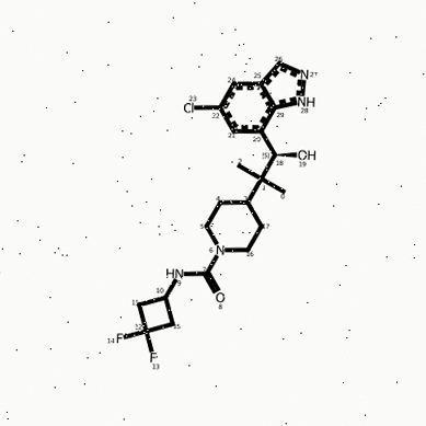 CC(C)(C1CCN(C(=O)NC2CC(F)(F)C2)CC1)[C@H](O)c1cc(Cl)cc2cn[nH]c12